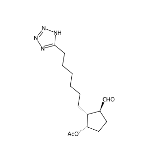 CC(=O)O[C@H]1CC[C@H](C=O)[C@H]1CCCCCCc1nnn[nH]1